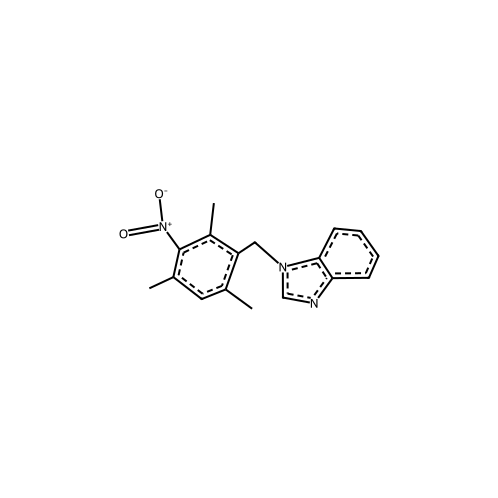 Cc1cc(C)c([N+](=O)[O-])c(C)c1Cn1cnc2ccccc21